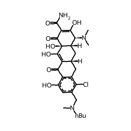 CCCCN(C)Cc1cc(O)c2c(c1Cl)C[C@H]1C[C@H]3[C@H](N(C)C)C(O)=C(C(N)=O)C(=O)[C@@]3(O)C(O)=C1C2=O